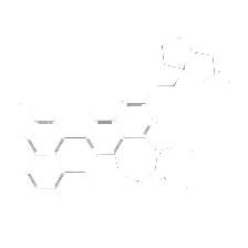 CCc1c(F)ccc2cc(O)cc(-c3nc4c5c(nc(OC[C@@]67CCCN6C[C@H](F)C7)nc5c3F)N(C)[C@@H](C)CO4)c12